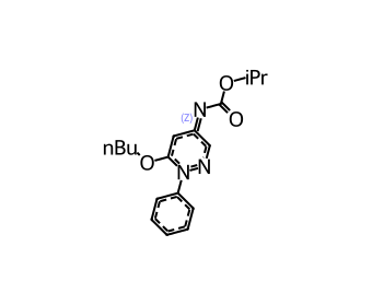 CCCCOc1c/c(=N/C(=O)OC(C)C)cnn1-c1ccccc1